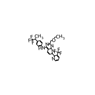 CCOCc1nc(Nc2ccc(C(C)C(F)(F)F)cc2)c2ccc(-c3ncccc3C(F)(F)F)nc2n1